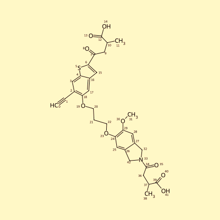 C#Cc1cc2sc(C(=O)CC(C)C(=O)O)cc2cc1OCCCOc1cc2c(cc1OC)CN(C(=O)CC(C)C(=O)O)C2